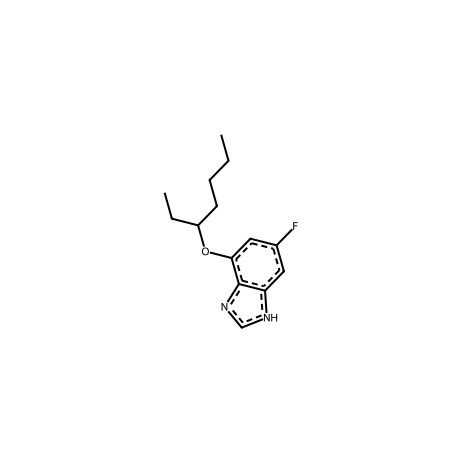 CCCCC(CC)Oc1cc(F)cc2[nH]cnc12